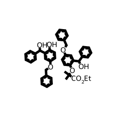 CCOC(=O)C(C)(C)Oc1ccc(OCc2ccccc2)cc1C(O)c1ccccc1.Oc1ccc(OCc2ccccc2)cc1C(O)c1ccccc1